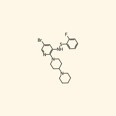 Fc1ccccc1SNc1cc(Br)cnc1N1CCC(N2CCCCC2)CC1